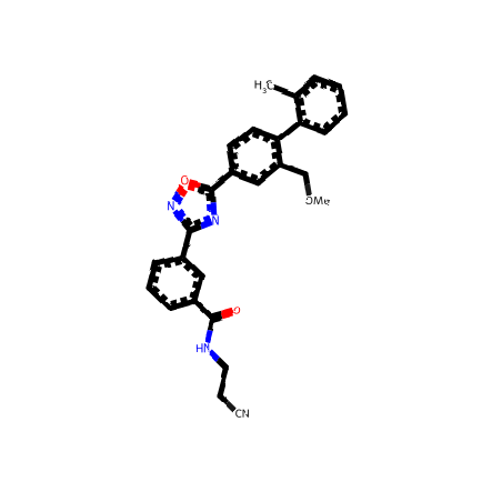 COCc1cc(-c2nc(-c3cccc(C(=O)NCCC#N)c3)no2)ccc1-c1ccccc1C